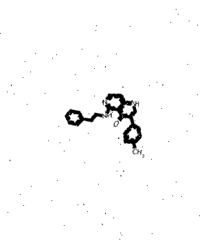 Cc1ccc(-c2c[nH]c3ccnc(NCCc4ccccc4)c3c2=O)cc1